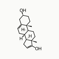 C[C@]12CC[C@H](O)CC1=CC[C@@H]1[C@@H]2CC[C@]2(C)C(O)=CC[C@@H]12